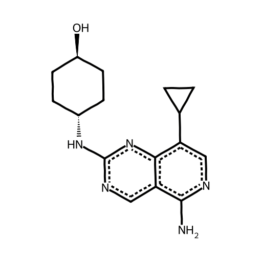 Nc1ncc(C2CC2)c2nc(N[C@H]3CC[C@H](O)CC3)ncc12